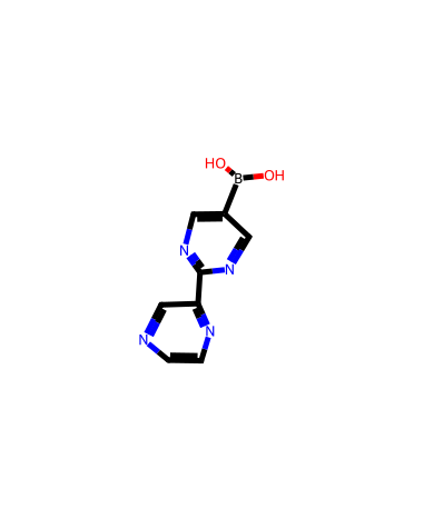 OB(O)c1cnc(-c2cnccn2)nc1